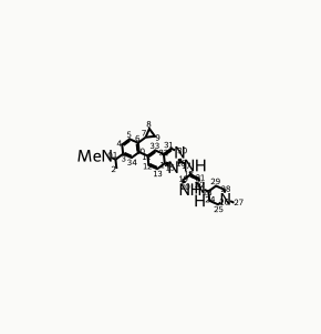 CNC(C)c1ccc(C2CC2)c(-c2ccc3nc(N/C(C=N)=C/NC4CCN(C)CC4)ncc3c2)c1